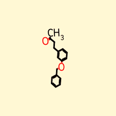 CC(=O)CCc1cccc(OCc2ccccc2)c1